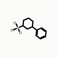 Cl[Si](Cl)(Cl)C1CCCC(c2ccccc2)C1